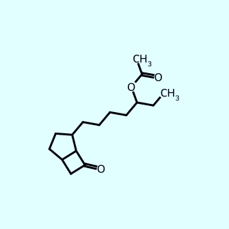 CCC(CCCCC1CCC2CC(=O)C12)OC(C)=O